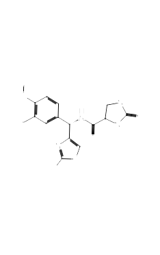 O=C1NCC(C(=O)N[C@H](c2ccc(OC(F)(F)F)c(Cl)c2)c2coc(C(F)(F)F)n2)N1